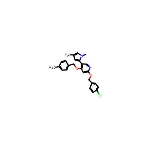 COc1ccc(COc2cc(OCc3ccc(Cl)cc3)ncc2-c2cc(C(F)(F)F)cn2C)cc1